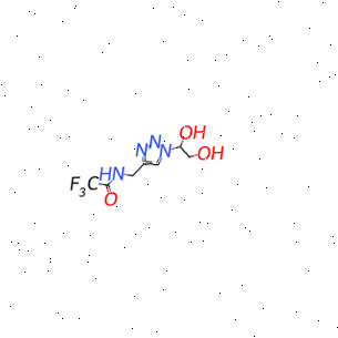 O=C(NCc1cn(C(O)CO)nn1)C(F)(F)F